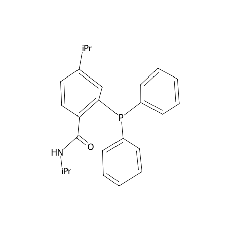 CC(C)NC(=O)c1ccc(C(C)C)cc1P(c1ccccc1)c1ccccc1